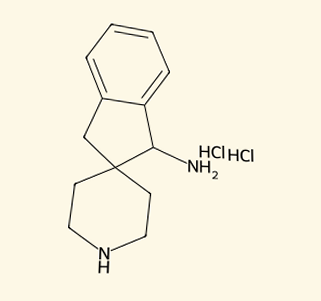 Cl.Cl.NC1c2ccccc2CC12CCNCC2